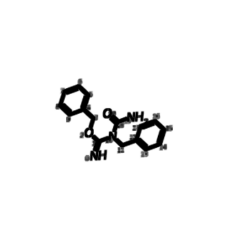 N=C(OCc1ccccc1)N(Cc1ccccc1)C(N)=O